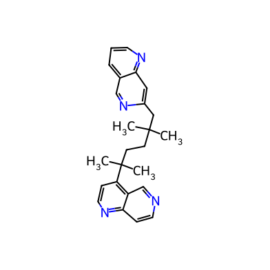 CC(C)(CCC(C)(C)c1ccnc2ccncc12)Cc1cc2ncccc2cn1